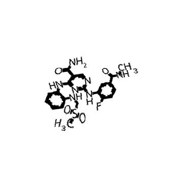 CNC(=O)c1ccc(F)c(Nc2ncc(C(N)=O)c(Nc3ccccc3NCS(C)(=O)=O)n2)c1